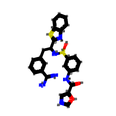 N=C(N)c1cccc(CC(N[S+]([O-])c2cccc(NC(=O)c3cnco3)c2)c2nc3ccccc3s2)c1